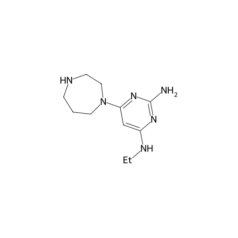 CCNc1cc(N2CCCNCC2)nc(N)n1